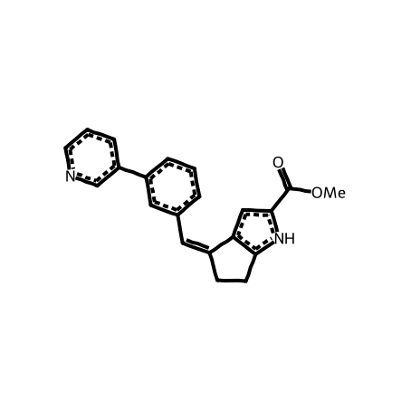 COC(=O)c1cc2c([nH]1)CCC2=Cc1cccc(-c2cccnc2)c1